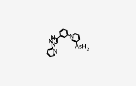 [AsH2]C1=CN(c2cccc(-c3cn(-c4ccccn4)nn3)c2)CC=C1